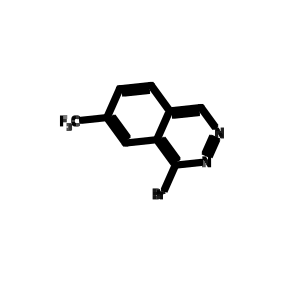 FC(F)(F)c1ccc2cnnc(Br)c2c1